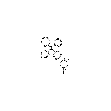 CC1CNCCO1.c1ccc([B-](c2ccccc2)(c2ccccc2)c2ccccc2)cc1